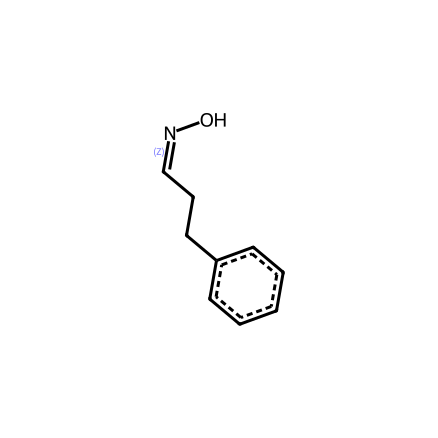 O/N=C\CCc1ccccc1